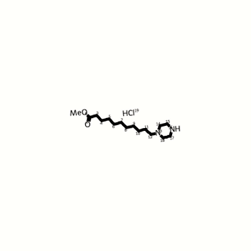 COC(=O)CCCCCCCCCCN1CCNCC1.Cl